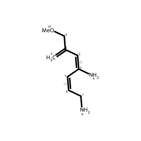 C=C(/C=C(N)\C=C/CN)COC